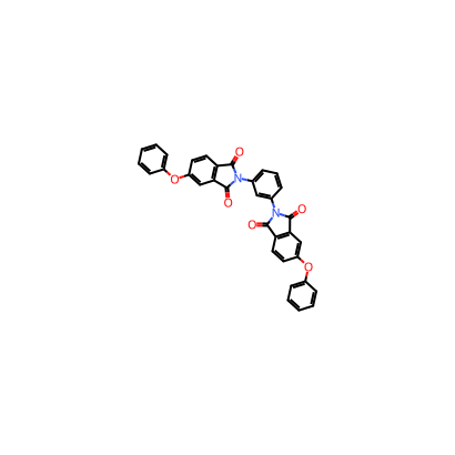 O=C1c2ccc(Oc3ccccc3)cc2C(=O)N1c1cccc(N2C(=O)c3ccc(Oc4ccccc4)cc3C2=O)c1